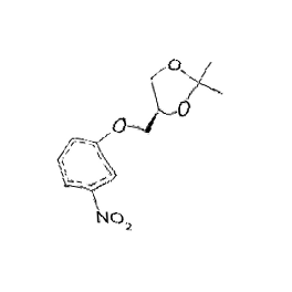 CC1(C)OC[C@H](COc2cccc([N+](=O)[O-])c2)O1